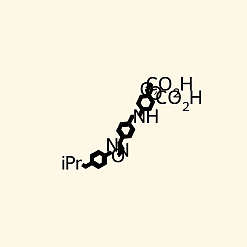 CC(C)Cc1ccc(-c2nc(-c3ccc(CNC4CCC(OC(=O)O)(OC(=O)O)CC4)cc3)no2)cc1